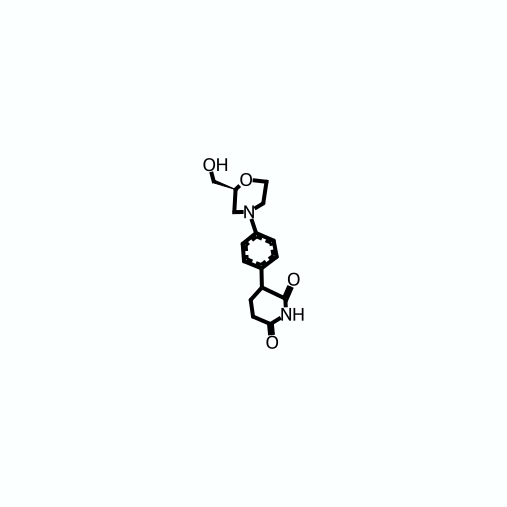 O=C1CCC(c2ccc(N3CCO[C@H](CO)C3)cc2)C(=O)N1